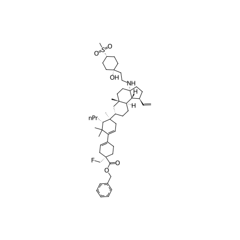 C=C[C@@H]1CC[C@]2(NCC[C@]3(O)CC[C@@H](S(C)(=O)=O)CC3)CC[C@@]3(C)C[C@@H]([C@@]4(C)CC=C(C5=CC[C@](CF)(C(=O)OCc6ccccc6)CC5)C(C)(C)[C@@H]4CCC)CC[C@@H]3[C@@H]12